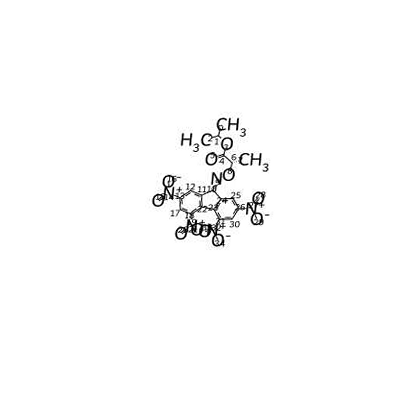 CC(C)OC(=O)[C@H](C)ON=C1c2cc([N+](=O)[O-])cc([N+](=O)[O-])c2-c2c1cc([N+](=O)[O-])cc2[N+](=O)[O-]